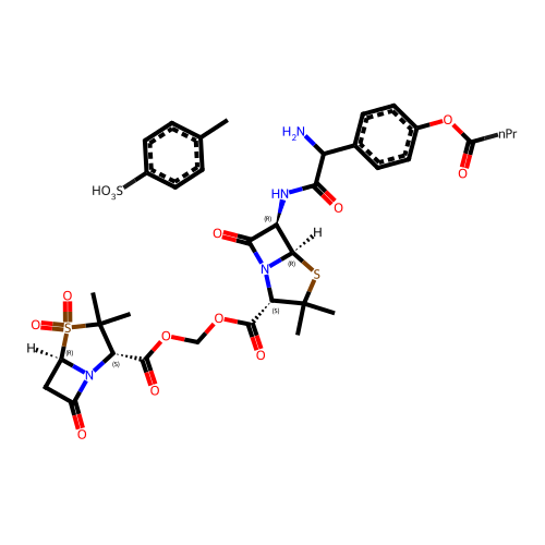 CCCC(=O)Oc1ccc(C(N)C(=O)N[C@@H]2C(=O)N3[C@@H]2SC(C)(C)[C@@H]3C(=O)OCOC(=O)[C@@H]2N3C(=O)C[C@H]3S(=O)(=O)C2(C)C)cc1.Cc1ccc(S(=O)(=O)O)cc1